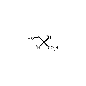 [2H]C([2H])(CS)C(=O)O